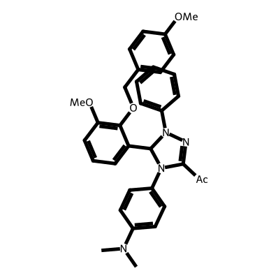 COc1ccc(COc2c(OC)cccc2C2N(c3ccccc3)N=C(C(C)=O)N2c2ccc(N(C)C)cc2)cc1